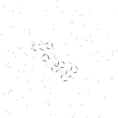 CC(c1ccc(-c2c3ccccc3nc3ccccc23)cc1)c1ccccc1CC(C)(N)c1ccc(-c2c3ccccc3nc3ccccc23)cc1